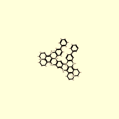 c1ccc(-c2ccc3c(c2)Oc2c4c5c(c6c2B3c2cc3c(cc2O6)Oc2c6c7c(c8c2B3c2ccc(-c3ccccc3)cc2O8)CCCN7CCC6)CCCN5CCC4)cc1